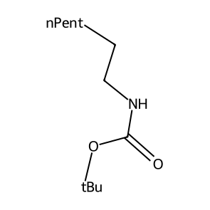 CCCCCCCNC(=O)OC(C)(C)C